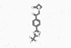 O=C(CN1CCC1=O)c1ccc(-c2noc(C(F)(F)F)n2)cc1